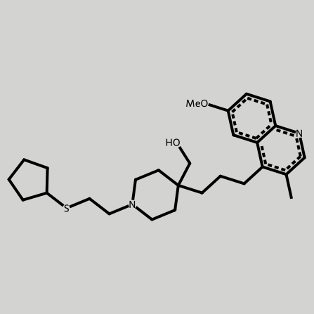 COc1ccc2ncc(C)c(CCCC3(CO)CCN(CCSC4CCCC4)CC3)c2c1